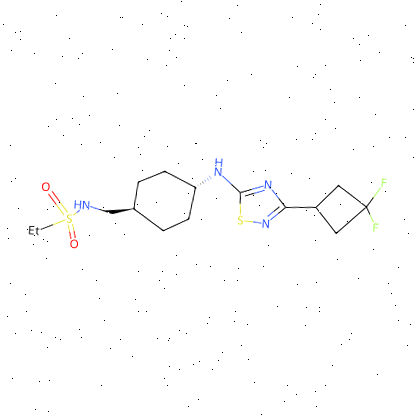 CCS(=O)(=O)NC[C@H]1CC[C@H](Nc2nc(C3CC(F)(F)C3)ns2)CC1